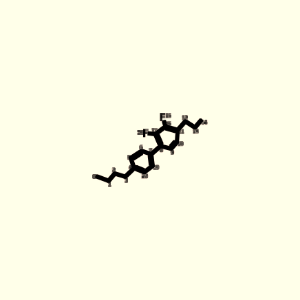 CCCCc1ccc(-c2ccc(CCC)c(F)c2F)cc1